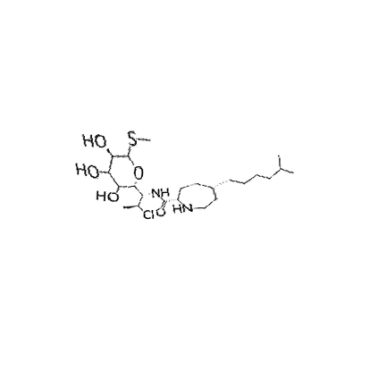 CSC1O[C@H]([C@H](NC(=O)[C@@H]2CC[C@H](CCCCC(C)C)CCN2)[C@H](C)Cl)C(O)C(O)[C@H]1O